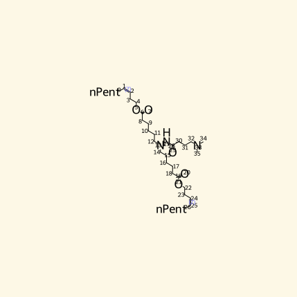 CCCCC/C=C\CCOC(=O)CCCCCN(CCCCCC(=O)OCC/C=C\CCCCC)NC(=O)CCCN(C)C